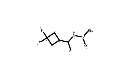 CC(N[S+]([O-])C(C)(C)C)C1CC(F)(F)C1